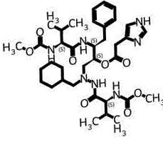 COC(=O)N[C@H](C(=O)N[C@@H](Cc1ccccc1)[C@H](CN(CC1CCCCC1)NC(=O)[C@@H](NC(=O)OC)C(C)C)OC(=O)Cc1c[nH]cn1)C(C)C